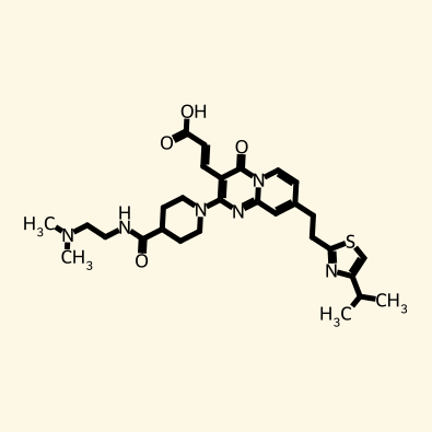 CC(C)c1csc(CCc2ccn3c(=O)c(C=CC(=O)O)c(N4CCC(C(=O)NCCN(C)C)CC4)nc3c2)n1